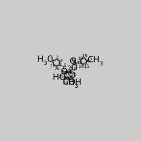 Cc1ccc(CO[C@@H]2[C@@H](COC(=O)c3ccc(C)cc3)OC(O)[C@]2(C)O)cc1